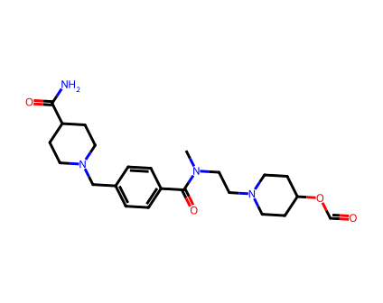 CN(CCN1CCC(OC=O)CC1)C(=O)c1ccc(CN2CCC(C(N)=O)CC2)cc1